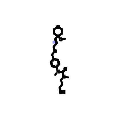 COC1(/C=C/COCc2ccc(N(C)C(=O)N(C)CCCO)cc2)CCOCC1